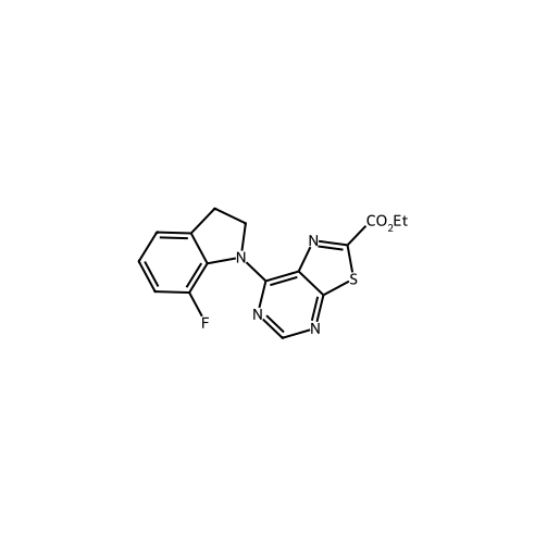 CCOC(=O)c1nc2c(N3CCc4cccc(F)c43)ncnc2s1